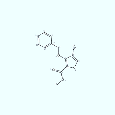 COC(=O)c1scc(Br)c1OCc1ccncc1